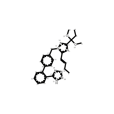 CC/C=C/c1nc(C(CC)(OC)OC)nn1Cc1ccc(-c2ccccc2-c2nnn[nH]2)cc1